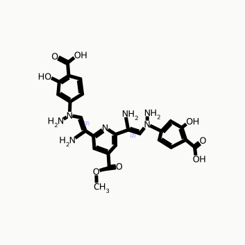 COC(=O)c1cc(/C(N)=C/N(N)c2ccc(C(=O)O)c(O)c2)nc(/C(N)=C/N(N)c2ccc(C(=O)O)c(O)c2)c1